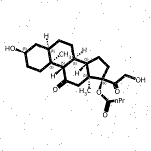 CCCC(=O)O[C@]1(C(=O)CO)CC[C@H]2[C@@H]3CC[C@@H]4C[C@H](O)CC[C@]4(C)[C@H]3C(=O)C[C@@]21C